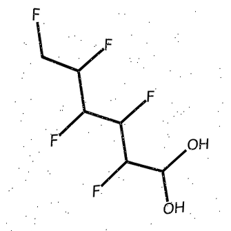 OC(O)C(F)C(F)C(F)C(F)CF